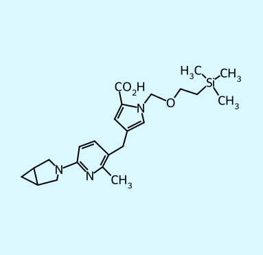 Cc1nc(N2CC3CC3C2)ccc1Cc1cc(C(=O)O)n(COCC[Si](C)(C)C)c1